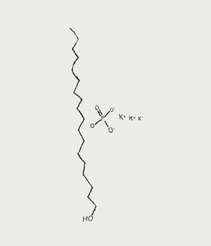 CCCCCCCCCCCCCCCCCCO.O=P([O-])([O-])[O-].[K+].[K+].[K+]